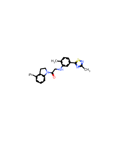 Cc1nsc(-c2ccc(C)c(NCC(=O)N3CCc4c(C(C)C)cccc43)c2)n1